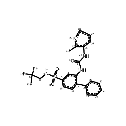 O=C(Nc1cc(S(=O)(=O)NCC(F)(F)F)ccc1-c1ccccc1)Nc1cccnc1F